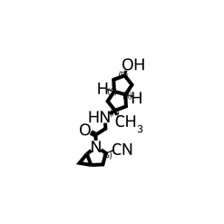 C[C@@]1(NCC(=O)N2C3CC3C[C@H]2C#N)C[C@H]2C[C@@H](O)C[C@H]2C1